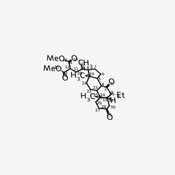 CC[C@H]1C(=O)C2C3CCC([C@H](C)CC(C(=O)OC)C(=O)OC)[C@@]3(C)CCC2[C@@]2(C)CCC(=O)C[C@@H]12